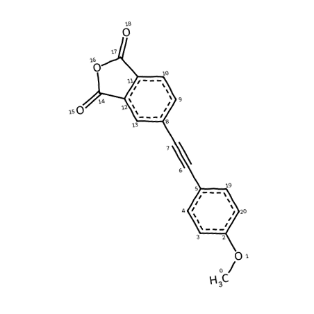 COc1ccc(C#Cc2ccc3c(c2)C(=O)OC3=O)cc1